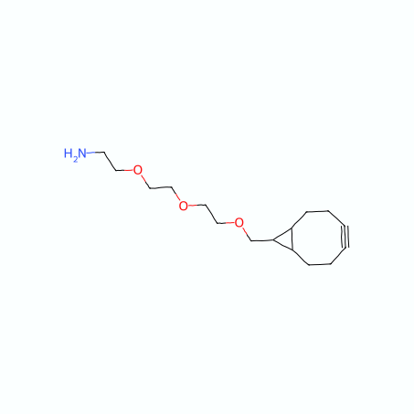 NCCOCCOCCOCC1C2CCC#CCCC21